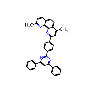 Cc1ccc2ccc3c(C)cc(-c4ccc(-c5nc(-c6ccccc6)cc(-c6ccccc6)n5)cc4)nc3c2n1